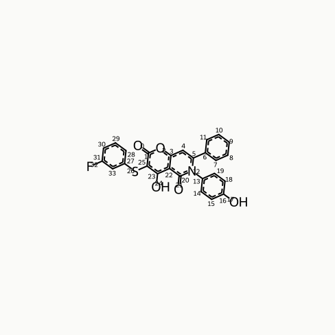 O=c1oc2cc(-c3ccccc3)n(-c3ccc(O)cc3)c(=O)c2c(O)c1Sc1cccc(F)c1